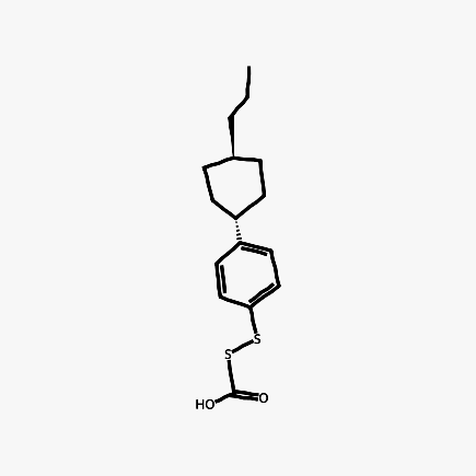 CCC[C@H]1CC[C@H](c2ccc(SSC(=O)O)cc2)CC1